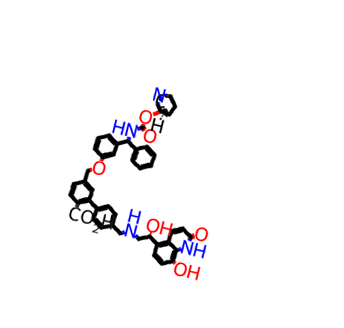 O=C(NC(c1ccccc1)c1cccc(OCc2ccc(C(=O)O)c(-c3ccc(CNC[C@H](O)c4ccc(O)c5[nH]c(=O)ccc45)cc3)c2)c1)O[C@H]1CN2CCC1CC2